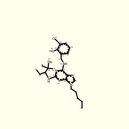 CCCCCn1cnc2c(NCc3cccc(Cl)c3O)nc(NC(CC)C(C)(C)O)nc21